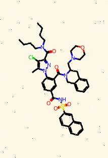 CCCCN(CCCC)C(=O)c1nn(-c2ccc(C(=O)NS(=O)(=O)c3ccc4ccccc4c3)cc2C(=O)N2Cc3ccccc3CC2CN2CCOCC2)c(C)c1Cl